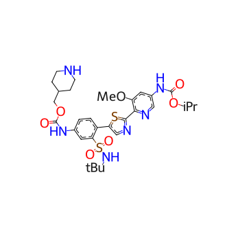 COc1cc(NC(=O)OC(C)C)cnc1-c1ncc(-c2ccc(NC(=O)OCC3CCNCC3)cc2S(=O)(=O)NC(C)(C)C)s1